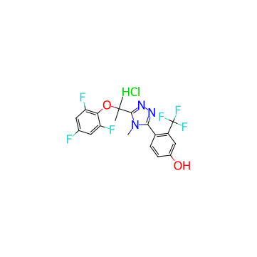 Cl.Cn1c(-c2ccc(O)cc2C(F)(F)F)nnc1C(C)(C)Oc1c(F)cc(F)cc1F